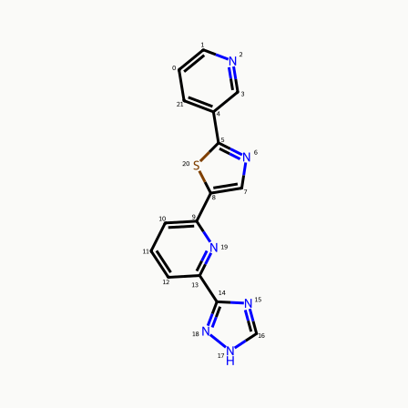 c1cncc(-c2ncc(-c3cccc(-c4nc[nH]n4)n3)s2)c1